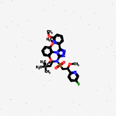 COc1cccc(-c2nnc(N(CC[Si](C)(C)C)S(=O)(=O)CC(OC)c3ccc(F)cn3)n2-c2c(OC)cccc2OC)n1